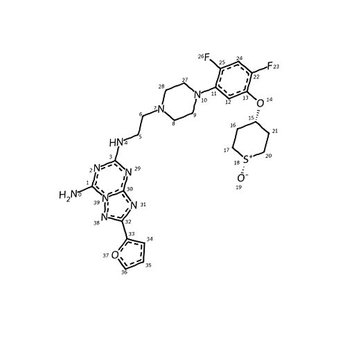 Nc1nc(NCCN2CCN(c3cc(O[C@H]4CC[S@@+]([O-])CC4)c(F)cc3F)CC2)nc2nc(-c3ccco3)nn12